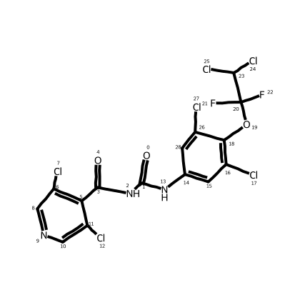 O=C(NC(=O)c1c(Cl)cncc1Cl)Nc1cc(Cl)c(OC(F)(F)C(Cl)Cl)c(Cl)c1